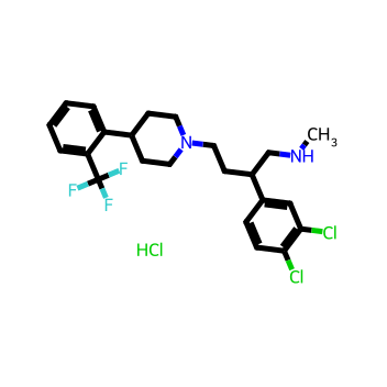 CNCC(CCN1CCC(c2ccccc2C(F)(F)F)CC1)c1ccc(Cl)c(Cl)c1.Cl